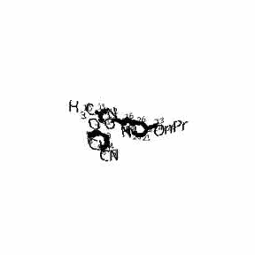 C/C=C(\C=C/CC#N)OCC(C)/C=N\C(=O)c1cc2n(n1)CCC(COCCC)C2